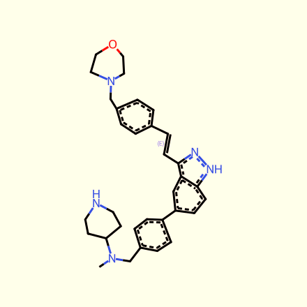 CN(Cc1ccc(-c2ccc3[nH]nc(/C=C/c4ccc(CN5CCOCC5)cc4)c3c2)cc1)C1CCNCC1